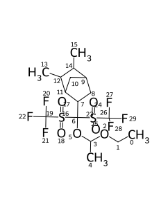 CCOC(C)OC(C1CC2CC1C(C)C2C)(S(=O)(=O)C(F)(F)F)S(=O)(=O)C(F)(F)F